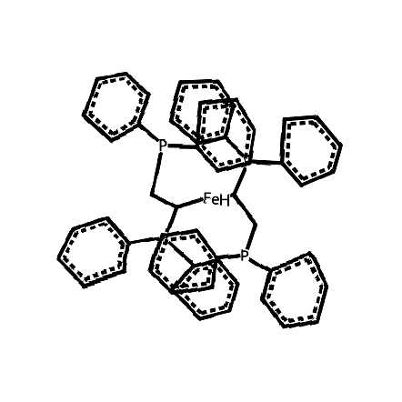 c1ccc(P(C[CH]([FeH][CH](CP(c2ccccc2)c2ccccc2)P(c2ccccc2)c2ccccc2)P(c2ccccc2)c2ccccc2)c2ccccc2)cc1